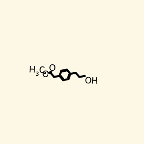 COC(=O)Cc1ccc(CCCO)cc1